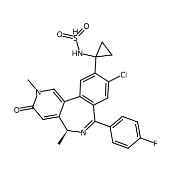 C[C@@H]1N=C(c2ccc(F)cc2)c2cc(Cl)c(C3(N[SH](=O)=O)CC3)cc2-c2cn(C)c(=O)cc21